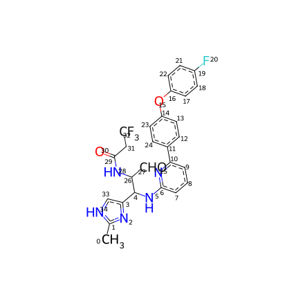 Cc1nc(C(Nc2cccc(-c3ccc(Oc4ccc(F)cc4)cc3)n2)C(C=O)NC(=O)CC(F)(F)F)c[nH]1